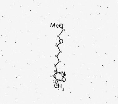 COCCOCCCCCc1cc(C)on1